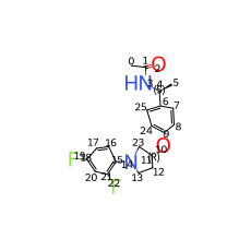 CC(=O)N[C@@H](C)c1ccc(O[C@@H]2CCN(c3ccc(F)cc3F)C2)cc1